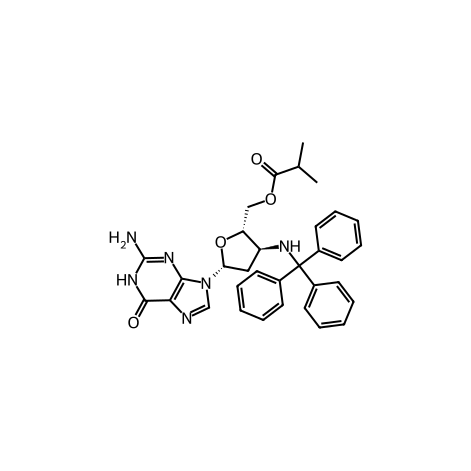 CC(C)C(=O)OC[C@H]1O[C@@H](n2cnc3c(=O)[nH]c(N)nc32)C[C@@H]1NC(c1ccccc1)(c1ccccc1)c1ccccc1